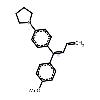 C=C/C=C(/c1ccc(OC)cc1)c1ccc(N2CCCC2)cc1